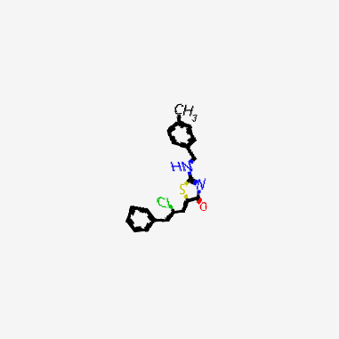 Cc1ccc(CNC2=NC(=O)C(=CC(Cl)=Cc3ccccc3)S2)cc1